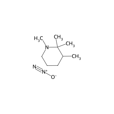 CC1CCCN(C)C1(C)C.N#[N+][O-]